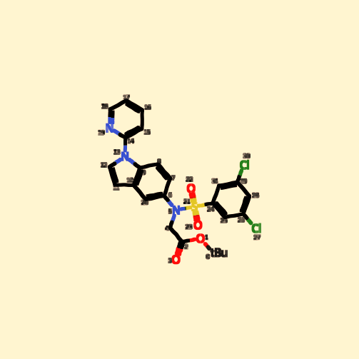 CC(C)(C)OC(=O)CN(c1ccc2c(ccn2-c2ccccn2)c1)S(=O)(=O)c1cc(Cl)cc(Cl)c1